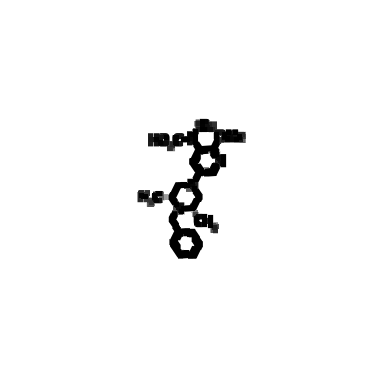 COc1ncc(N2C[C@@H](C)N(Cc3ccccc3)[C@@H](C)C2)cc1N(C(=O)O)C(C)(C)C